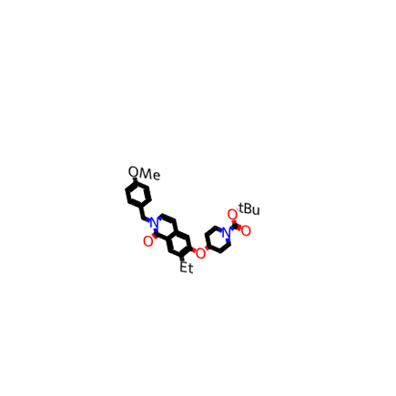 CCc1cc2c(=O)n(Cc3ccc(OC)cc3)ccc2cc1OC1CCN(C(=O)OC(C)(C)C)CC1